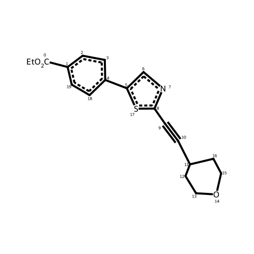 CCOC(=O)c1ccc(-c2cnc(C#CC3CCOCC3)s2)cc1